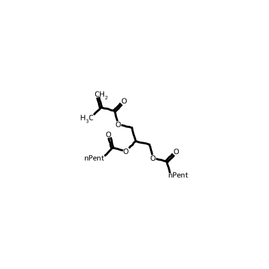 C=C(C)C(=O)OCC(COC(=O)CCCCC)OC(=O)CCCCC